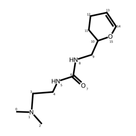 CN(C)CCNC(=O)NCC1CCC=CO1